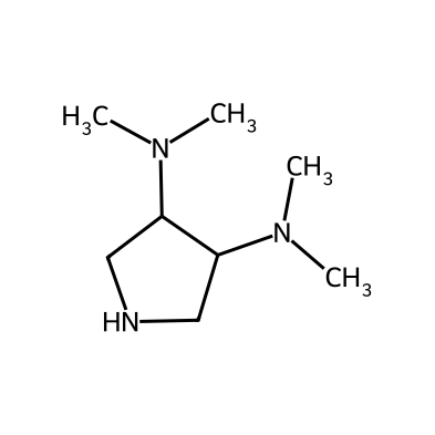 CN(C)C1CNCC1N(C)C